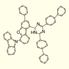 c1ccc(-c2ccc(C3=NC(c4cc(-c5ccccc5)cc5oc6c(-n7c8ccccc8c8ccccc87)cccc6c45)NC(c4ccc(-c5ccccc5)cc4)=N3)cc2)cc1